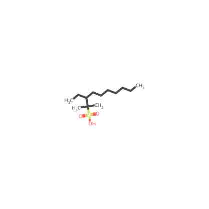 CCCCCCCC(CC)C(C)(C)S(=O)(=O)O